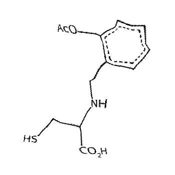 CC(=O)Oc1ccccc1CNC(CS)C(=O)O